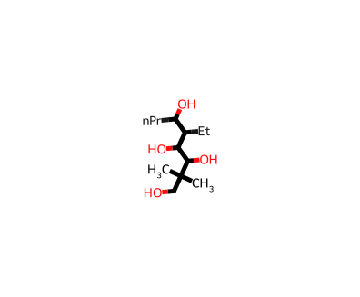 CCCC(O)C(CC)C(O)C(O)C(C)(C)CO